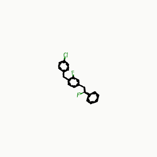 Fc1cc(C[C@H](F)c2ccccc2)ccc1Cc1ccc(Cl)cc1